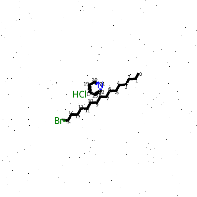 CCCCCCCCCCCCCCCCBr.Cl.c1ccncc1